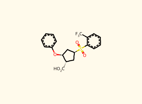 O=C(O)[C@H]1C[C@H](S(=O)(=O)c2ccccc2C(F)(F)F)C[C@@H]1Oc1ccccc1